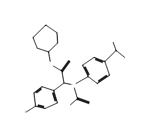 CC(=O)N(c1ccc(C(C)C)cc1)C(C(=O)NC1CCCCC1)c1ccc(Cl)cc1